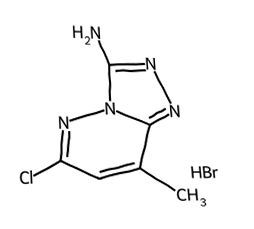 Br.Cc1cc(Cl)nn2c(N)nnc12